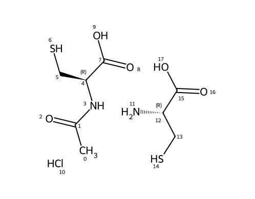 CC(=O)N[C@@H](CS)C(=O)O.Cl.N[C@@H](CS)C(=O)O